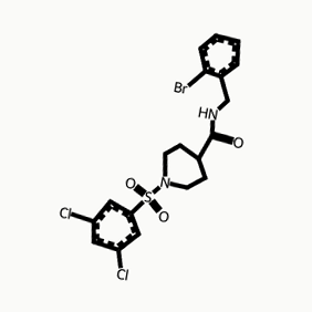 O=C(NCc1ccccc1Br)C1CCN(S(=O)(=O)c2cc(Cl)cc(Cl)c2)CC1